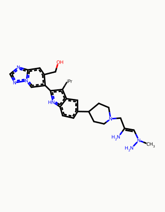 CC(C)c1c(-c2cn3ncnc3cc2CO)[nH]c2ccc(C3CCN(C/C(N)=C/N(C)N)CC3)cc12